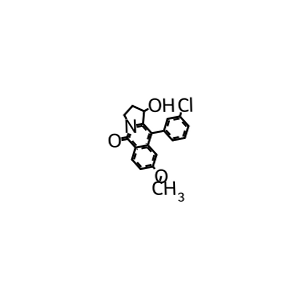 COc1ccc2c(=O)n3c(c(-c4cccc(Cl)c4)c2c1)C(O)CC3